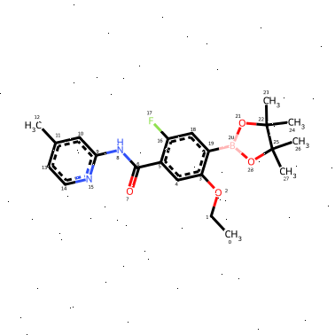 CCOc1cc(C(=O)Nc2cc(C)ccn2)c(F)cc1B1OC(C)(C)C(C)(C)O1